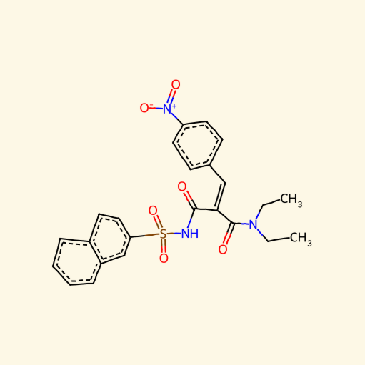 CCN(CC)C(=O)C(=Cc1ccc([N+](=O)[O-])cc1)C(=O)NS(=O)(=O)c1ccc2ccccc2c1